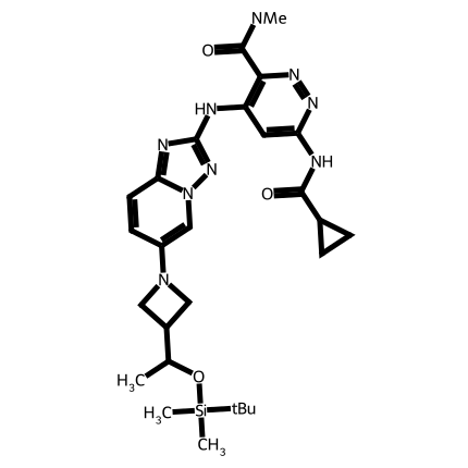 CNC(=O)c1nnc(NC(=O)C2CC2)cc1Nc1nc2ccc(N3CC(C(C)O[Si](C)(C)C(C)(C)C)C3)cn2n1